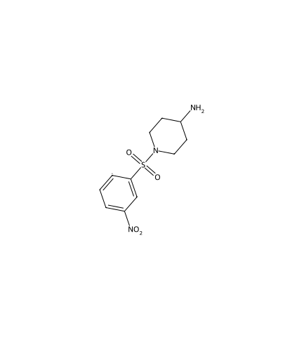 NC1CCN(S(=O)(=O)c2[c]ccc([N+](=O)[O-])c2)CC1